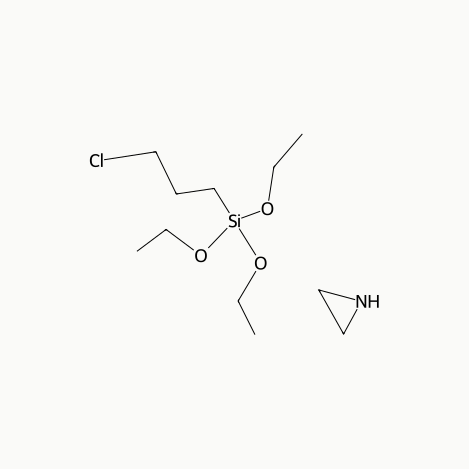 C1CN1.CCO[Si](CCCCl)(OCC)OCC